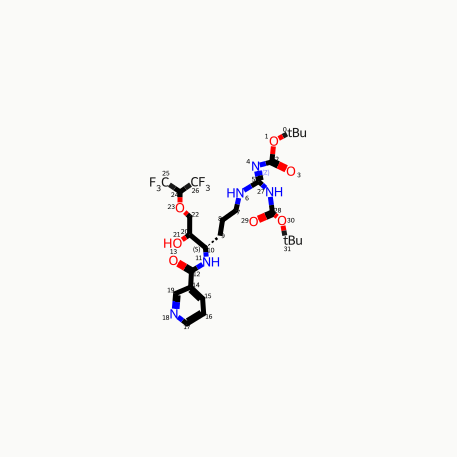 CC(C)(C)OC(=O)/N=C(/NCCC[C@H](NC(=O)c1cccnc1)C(O)COC(C(F)(F)F)C(F)(F)F)NC(=O)OC(C)(C)C